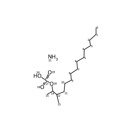 CCCCCCCCCCCCC(C)C(C)OS(=O)(=O)O.N